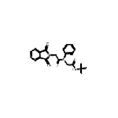 CC(C)(C)NC(=O)CN(C(=O)CN1C(=O)c2ccccc2C1=O)c1ccccc1